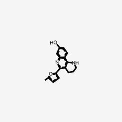 Cc1ccc(-c2nc3cc(O)ccc3c3c2CCCN3)o1